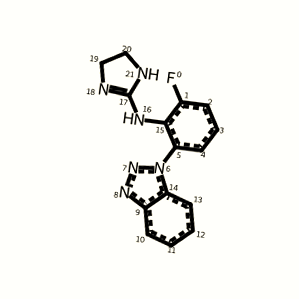 Fc1cccc(-n2nnc3ccccc32)c1NC1=NCCN1